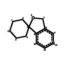 [CH]1CCC2(CC1)OCc1cnccc12